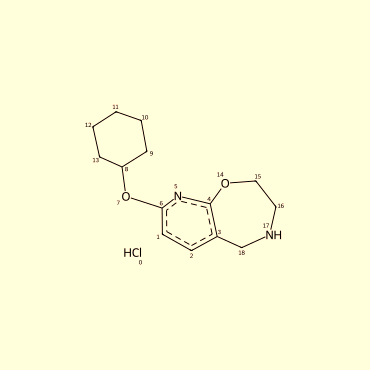 Cl.c1cc2c(nc1OC1CCCCC1)OCCNC2